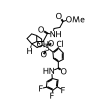 COC(=O)CCNC(=O)C[C@@]1(O)C2CC[C@H]1C[C@H](S(=O)(=O)c1cc(C(=O)Nc3cc(F)c(F)c(F)c3)ccc1Cl)C2